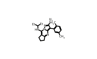 CCC(CC)Nc1c2c(nc3c(-c4cc(C)ccc4C)c(C)nn13)CCC2